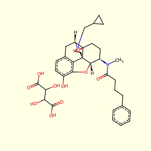 CN(C(=O)CCCc1ccccc1)[C@@H]1CC[C@@]2(O)[C@H]3Cc4ccc(O)c5c4[C@@]2(CCN3CC2CC2)[C@H]1O5.O=C(O)C(O)C(O)C(=O)O